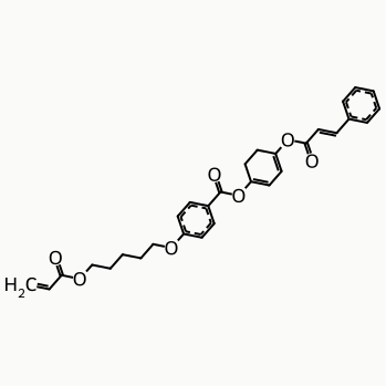 C=CC(=O)OCCCCCOc1ccc(C(=O)OC2=CC=C(OC(=O)/C=C/c3ccccc3)CC2)cc1